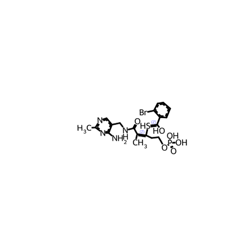 C/C(C(=O)NCc1cnc(C)nc1N)=C(CCOP(=O)(O)O)/[SH]=C(\O)c1ccccc1Br